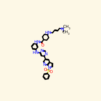 CN(C)C/C=C/CNC1CCC(C(=O)Nc2cccc(Nc3cc(-c4cnc5c(ccn5S(=O)(=O)c5ccccc5)c4)ncn3)c2)CC1